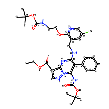 CCOC(=O)c1cnn2c(NC(=O)OC(C)(C)C)c(-c3ccccc3)c(NCc3cc(F)cnc3OCCNC(=O)OC(C)(C)C)nc12